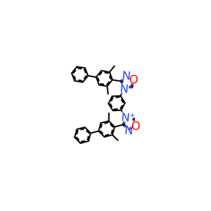 Cc1cc(-c2ccccc2)cc(C)c1-c1noc[n+]1-c1cccc(-[n+]2conc2-c2c(C)cc(-c3ccccc3)cc2C)c1